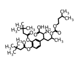 CC(C)CCOC(=O)OC(C)CC(c1ccc(OC(=O)CC(C)(C)C)c(OC(=O)CC(C)(C)C)c1)[C@H](N)C(=O)O